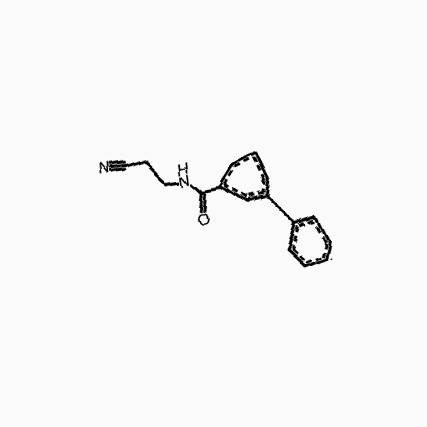 N#CCCNC(=O)c1cccc(-c2cc[c]cc2)c1